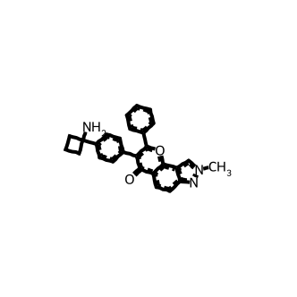 Cn1cc2c(ccc3c(=O)c(-c4ccc(C5(N)CCC5)cc4)c(-c4ccccc4)oc32)n1